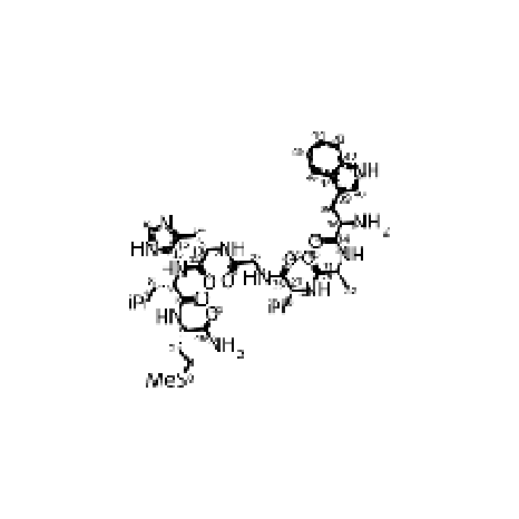 CSCC[C@H](NC(=O)[C@H](CC(C)C)NC(=O)[C@H](Cc1c[nH]cn1)NC(=O)CNC(=O)[C@@H](NC(=O)[C@H](C)NC(=O)C(N)Cc1c[nH]c2ccccc12)C(C)C)C(N)=O